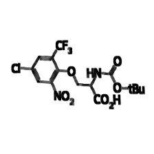 CC(C)(C)OC(=O)NC(COc1c([N+](=O)[O-])cc(Cl)cc1C(F)(F)F)C(=O)O